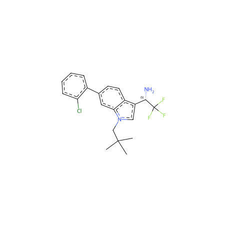 CC(C)(C)Cn1cc([C@H](N)C(F)(F)F)c2ccc(-c3ccccc3Cl)cc21